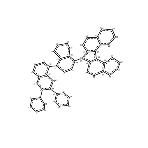 c1ccc(-c2nc3cccc(-c4ccc(-n5c6ccc7ccccc7c6c6c7ccccc7ccc65)c5ccccc45)c3nc2-c2ccccc2)cc1